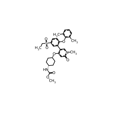 CCS(=O)(=O)c1ccc(Oc2c(C)cccc2C)c(-c2cn(C)c(=O)cc2O[C@H]2CC[C@H](NC(=O)OC)CC2)c1